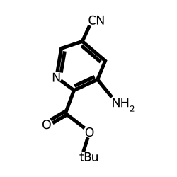 CC(C)(C)OC(=O)c1ncc(C#N)cc1N